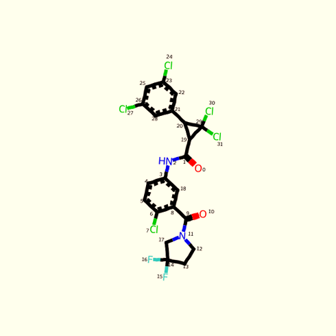 O=C(Nc1ccc(Cl)c(C(=O)N2CCC(F)(F)C2)c1)C1C(c2cc(Cl)cc(Cl)c2)C1(Cl)Cl